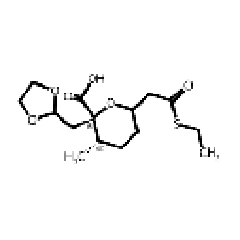 CCSC(=O)CC1CC[C@H](C)[C@](CC2OCCO2)(C(=O)O)O1